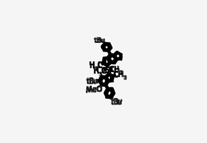 COc1c(C(C)(C)C)cc2c(c1-c1ccc(C(C)(C)C)cc1)C=C(C)C2[Si](C)(C)C1C(C)=Cc2c1cc1c(c2-c2ccc(C(C)(C)C)cc2)CCC1